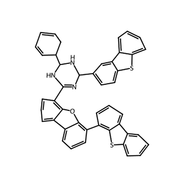 C1=CCC(C2NC(c3cccc4c3oc3c(-c5cccc6c5sc5ccccc56)cccc34)=NC(c3ccc4sc5ccccc5c4c3)N2)C=C1